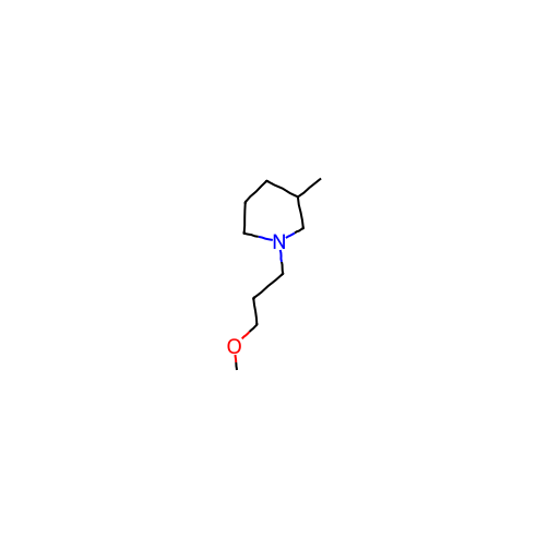 COCCCN1CCCC(C)C1